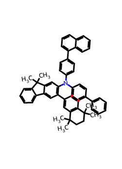 CC1(C)CCC(C)(C)c2cc(-c3cc4c(cc3N(c3ccc(-c5ccccc5)cc3)c3ccc(-c5cccc6ccccc56)cc3)C(C)(C)c3ccccc3-4)ccc21